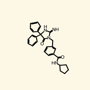 N=C1NC(c2ccccc2)(c2ccccc2)C(=O)N1Cc1cccc(C(=O)NC2CCCC2)c1